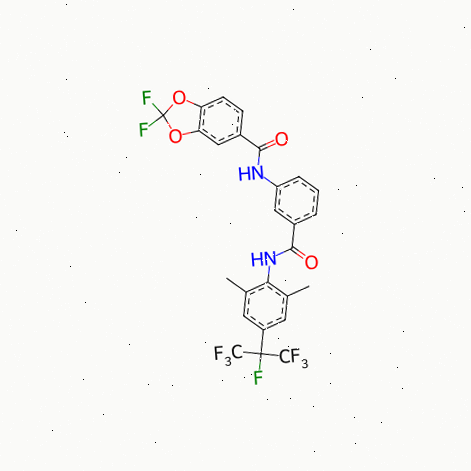 Cc1cc(C(F)(C(F)(F)F)C(F)(F)F)cc(C)c1NC(=O)c1cccc(NC(=O)c2ccc3c(c2)OC(F)(F)O3)c1